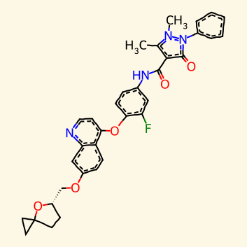 Cc1c(C(=O)Nc2ccc(Oc3ccnc4cc(OC[C@@H]5CCC6(CC6)O5)ccc34)c(F)c2)c(=O)n(-c2ccccc2)n1C